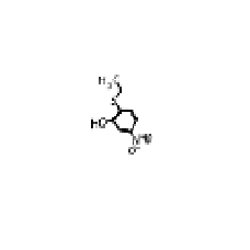 CCSc1ccc([N+](=O)[O-])cc1O